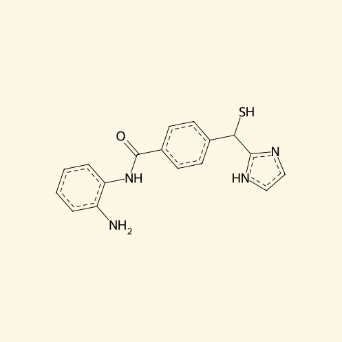 Nc1ccccc1NC(=O)c1ccc(C(S)c2ncc[nH]2)cc1